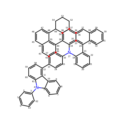 c1ccc(-n2c3ccccc3c3c(-c4ccc(N(c5ccccc5-c5cccc6ccccc56)c5ccccc5-c5cccc6cccc(C7CCCCC7)c56)cc4)cccc32)cc1